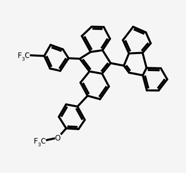 FC(F)(F)Oc1ccc(-c2ccc3c(-c4cc5ccccc5c5ccccc45)c4ccccc4c(-c4ccc(C(F)(F)F)cc4)c3c2)cc1